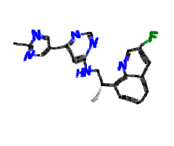 Cc1ncc(-c2cc(NC[C@@H](C)c3cccc4cc(F)cnc34)ncn2)cn1